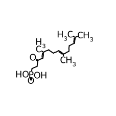 CC(C)=CCCC(C)=CCCC(C)=CC(=O)CCP(=O)(O)O